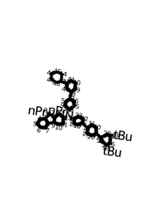 CCCC1(CCC)c2ccccc2-c2ccc(N(c3ccc(-c4ccc(-c5cc(C(C)(C)C)cc(C(C)(C)C)c5)cc4)cc3)c3ccc(-c4cccc(C5CCCCC5)c4)cc3)cc21